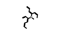 C=C/C=C(\C=C/C)N(C)/C(C=C)=C/C=C\C